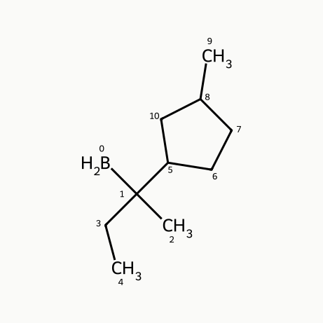 BC(C)(CC)C1CCC(C)C1